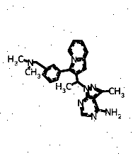 Cc1nn(C(C)c2cc3ccccn3c2-c2cccc(CN(C)C)c2)c2ncnc(N)c12